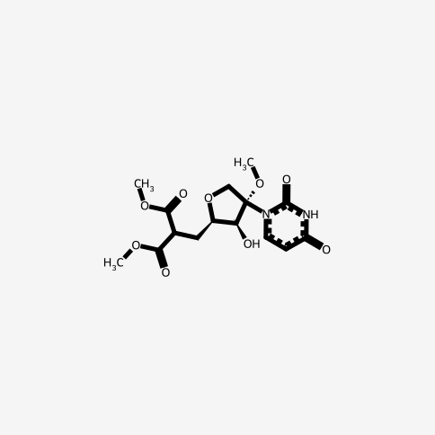 COC(=O)C(C[C@H]1OC[C@@](OC)(n2ccc(=O)[nH]c2=O)[C@H]1O)C(=O)OC